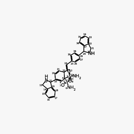 NS(=O)(=O)C1(S(N)(=O)=O)C=C(C2NCc3ccccc32)C=CC1C=Cc1ccc(C2NCc3ccccc32)cc1